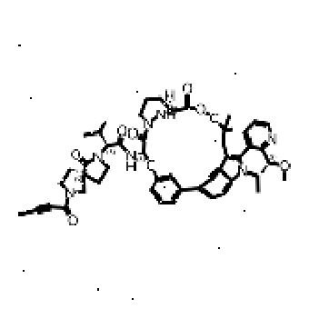 CC#CC(=O)N1CC[C@]2(CCN([C@H](C(=O)N[C@H]3Cc4cccc(c4)-c4ccc5c(c4)c(c(-c4cccnc4[C@H](C)OC)n5CC)CC(C)(C)COC(=O)[C@@H]4CCCN(N4)C3=O)C(C)C)C2=O)C1